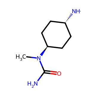 CN(C(N)=O)[C@H]1CC[C@H]([NH])CC1